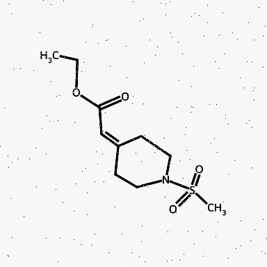 CCOC(=O)C=C1CCN(S(C)(=O)=O)CC1